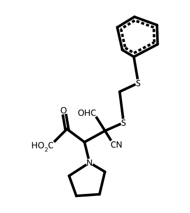 N#CC(C=O)(SCSc1ccccc1)C(C(=O)C(=O)O)N1CCCC1